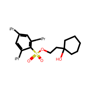 CC(C)c1cc(C(C)C)c(S(=O)(=O)OCCC2(O)CCCCC2)c(C(C)C)c1